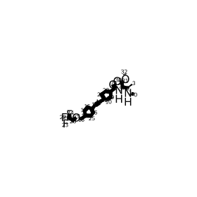 CN[C@H](C)[C@H](NC(=O)c1ccc(C#Cc2ccc(COCC(F)(F)F)cc2)cc1)C(=O)OC